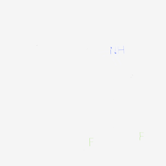 FC(F)c1c[nH]c2ccccc12